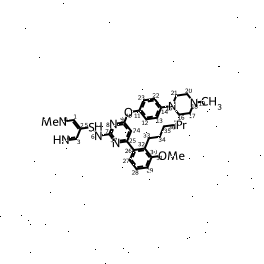 CN/C=C(\C=N)SNc1nc(Oc2ccc(N3CCN(C)CC3)cc2)cc(-c2cccc(OC)c2CCCC(C)C)n1